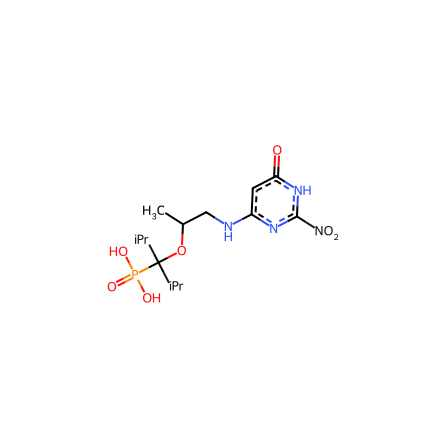 CC(CNc1cc(=O)[nH]c([N+](=O)[O-])n1)OC(C(C)C)(C(C)C)P(=O)(O)O